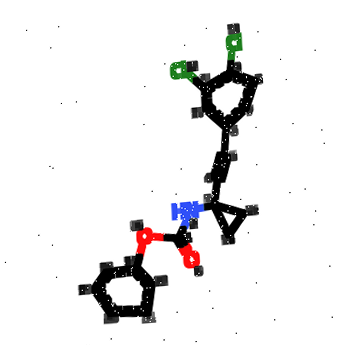 O=C(NC1(C#Cc2ccc(Cl)c(Cl)c2)CC1)Oc1ccccc1